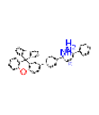 N=C(/C=C\C(N)c1ccccc1)c1ccc(-c2ccc3c(c2)C2(c4ccccc4O3)c3ccccc3-c3ccccc32)cc1